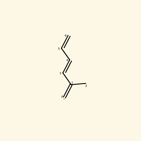 [C]=C(C)C=CC=C